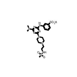 CN(C)c1nc(Nc2cccc(S(=O)(=O)O)c2)nc(N2CCN(CCNS(C)(=O)=O)CC2)n1